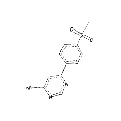 CCCc1cc(-c2ccc(S(C)(=O)=O)cc2)ncn1